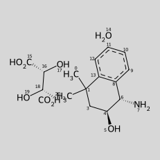 CC1(C)C[C@H](O)[C@@H](N)c2ccccc21.O.O=C(O)[C@H](O)[C@@H](O)C(=O)O